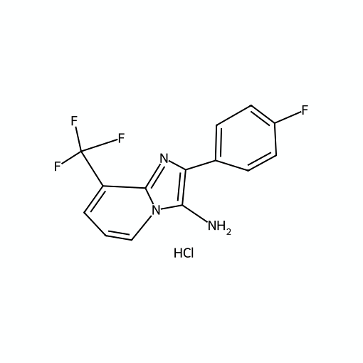 Cl.Nc1c(-c2ccc(F)cc2)nc2c(C(F)(F)F)cccn12